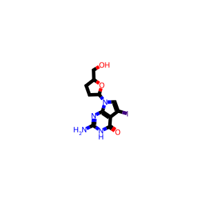 Nc1nc2c(c(I)cn2C2CCC(CO)O2)c(=O)[nH]1